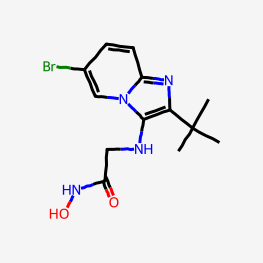 CC(C)(C)c1nc2ccc(Br)cn2c1NCC(=O)NO